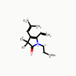 C=CC1=C(/C=C(\C)[N+](=O)[O-])C(CC)(CC)C(=O)N1CCOC